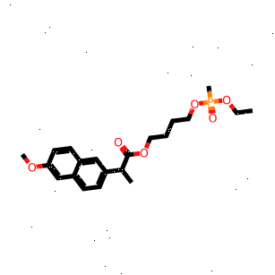 CCOP(C)(=O)OCCCCOC(=O)C(C)c1ccc2cc(OC)ccc2c1